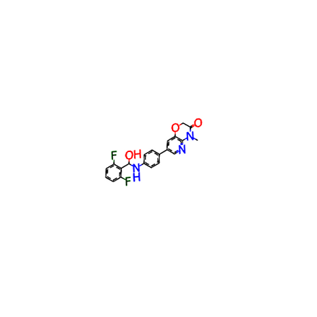 CN1C(=O)COc2cc(-c3ccc(NC(O)c4c(F)cccc4F)cc3)cnc21